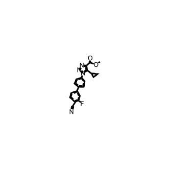 COC(=O)c1nnn(-c2ccc(-c3ccc(C#N)c(F)c3)cc2)c1C1CC1